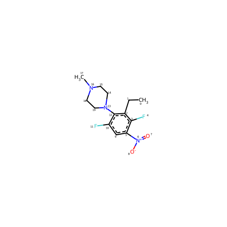 CCc1c(F)c([N+](=O)[O-])cc(F)c1N1CCN(C)CC1